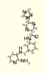 Nc1ncccc1NCc1cccc(NC(=O)c2cnc(-n3cncn3)cn2)c1